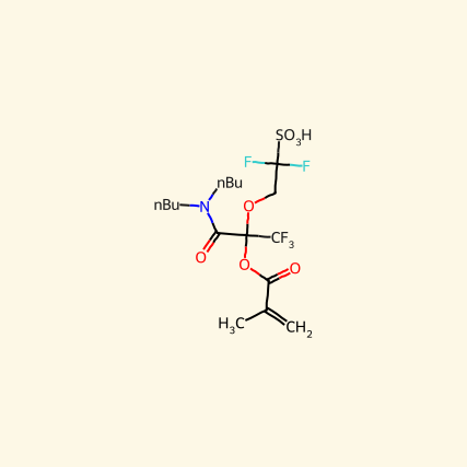 C=C(C)C(=O)OC(OCC(F)(F)S(=O)(=O)O)(C(=O)N(CCCC)CCCC)C(F)(F)F